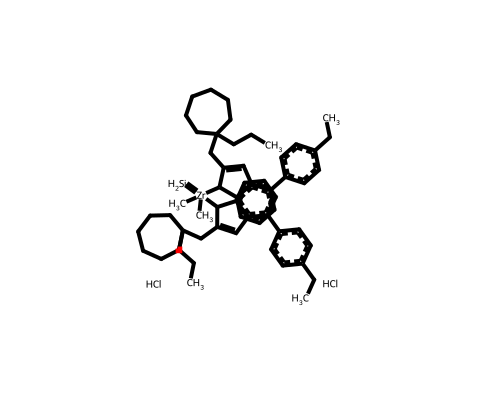 CCCC1(CC2=Cc3c(-c4ccc(CC)cc4)cccc3[CH]2[Zr]([CH3])([CH3])(=[SiH2])[CH]2C(CC3(CCC)CCCCCC3)=Cc3c(-c4ccc(CC)cc4)cccc32)CCCCCC1.Cl.Cl